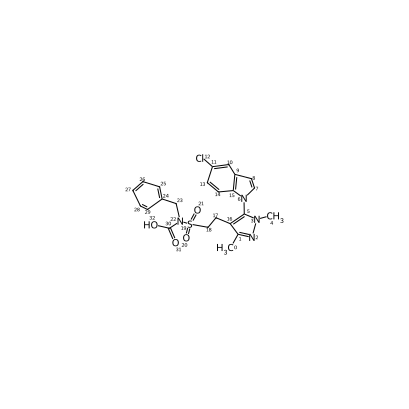 Cc1nn(C)c(-n2ccc3cc(Cl)ccc32)c1CCS(=O)(=O)N(Cc1ccccc1)C(=O)O